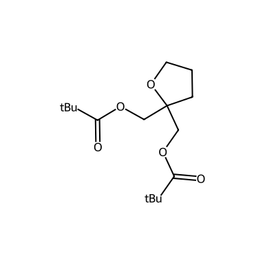 CC(C)(C)C(=O)OCC1(COC(=O)C(C)(C)C)CCCO1